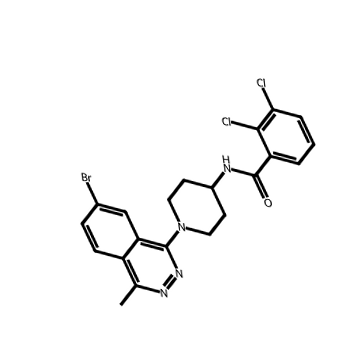 Cc1nnc(N2CCC(NC(=O)c3cccc(Cl)c3Cl)CC2)c2cc(Br)ccc12